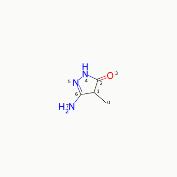 CC1C(=O)NN=C1N